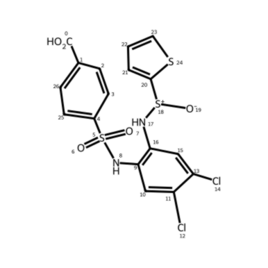 O=C(O)c1ccc(S(=O)(=O)Nc2cc(Cl)c(Cl)cc2N[S+]([O-])c2cccs2)cc1